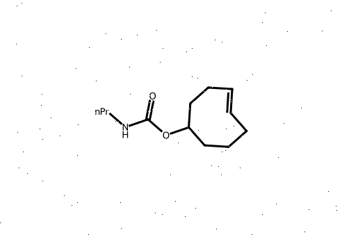 [CH2]CCNC(=O)OC1CC/C=C/CCC1